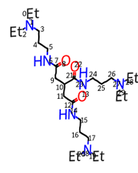 CCN(CC)CCCNC(=O)CC(CC(=O)NCCCN(CC)CC)C(=O)NCCCN(CC)CC